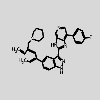 C=C/C(=C\C(=C/C)c1ccc2[nH]nc(-c3nc4c(-c5ccc(F)cc5)cncc4[nH]3)c2c1)CN1CCCCC1